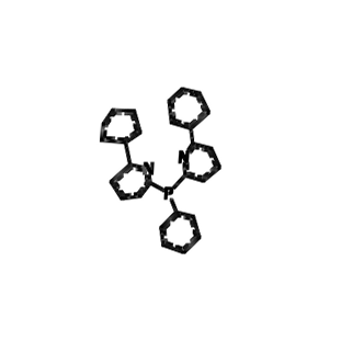 c1ccc(-c2cccc(P(c3ccccc3)c3cccc(-c4ccccc4)n3)n2)cc1